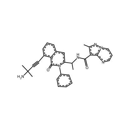 Cc1nn2cccnc2c1C(=O)NC(C)c1cc2cccc(C#CC(C)(C)N)c2c(=O)n1-c1ccccc1